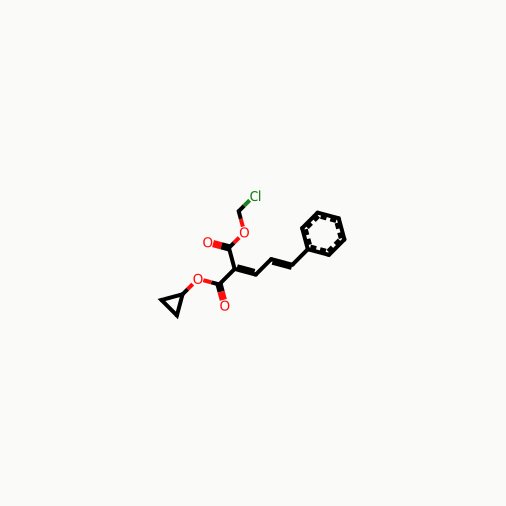 O=C(OCCl)C(=CC=Cc1ccccc1)C(=O)OC1CC1